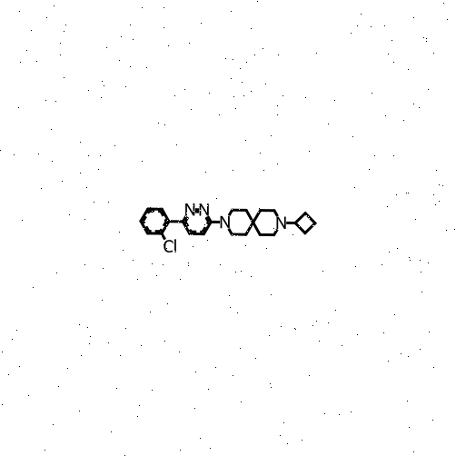 Clc1ccccc1-c1ccc(N2CCC3(CC2)CCN(C2CCC2)CC3)nn1